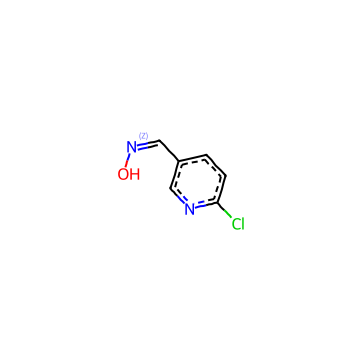 O/N=C\c1ccc(Cl)nc1